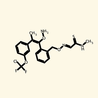 CNC(=S)C=NOCc1ccccc1C(ON)=C(C)c1cccc(OC(F)(F)Cl)c1